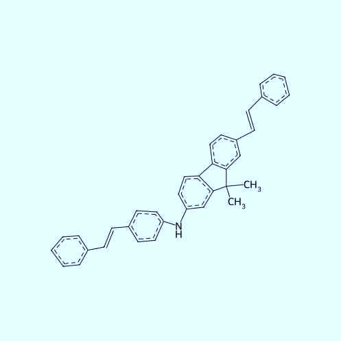 CC1(C)c2cc(/C=C/c3ccccc3)ccc2-c2ccc(Nc3ccc(/C=C/c4ccccc4)cc3)cc21